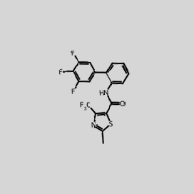 Cc1nc(C(F)(F)F)c(C(=O)Nc2ccccc2-c2cc(F)c(F)c(F)c2)s1